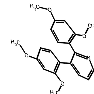 COc1ccc(-c2cccnc2-c2ccc(OC)cc2OC)c(OC)c1